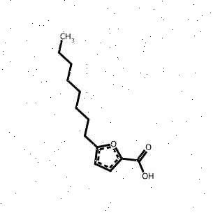 CCCCCCCCc1ccc(C(=O)O)o1